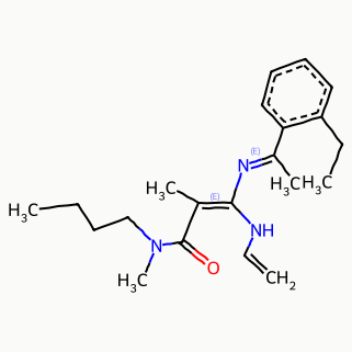 C=CNC(/N=C(\C)c1ccccc1CC)=C(/C)C(=O)N(C)CCCC